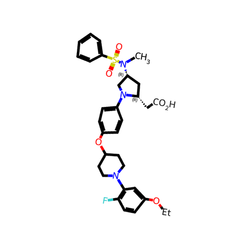 CCOc1ccc(F)c(N2CCC(Oc3ccc(N4C[C@H](N(C)S(=O)(=O)c5ccccc5)C[C@@H]4CC(=O)O)cc3)CC2)c1